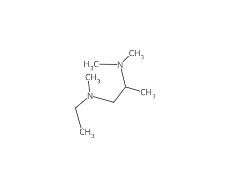 CCN(C)CC(C)N(C)C